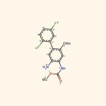 COc1cc(NC(=O)OC(C)(C)C)c(N)cc1-c1cc(F)ccc1F